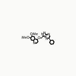 COc1cc2nccc(OCc3nnc4ncc(-c5ccccc5)nn34)c2cc1OC